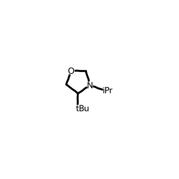 CC(C)N1COCC1C(C)(C)C